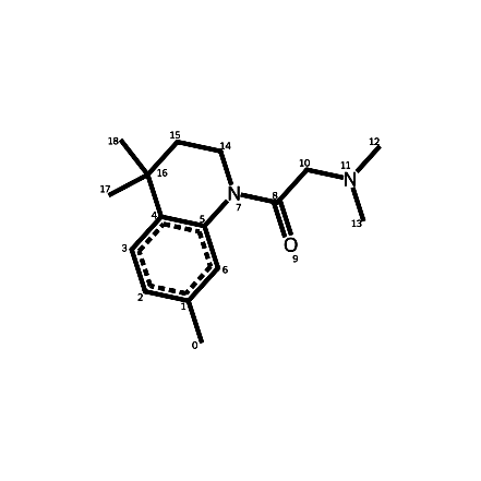 Cc1ccc2c(c1)N(C(=O)CN(C)C)CCC2(C)C